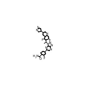 CC(c1c(F)cc2ncc(-c3cnn(C)c3)cc2c1F)n1nnc2ncc(-c3ccc(C(N)=O)c(F)c3)nc21